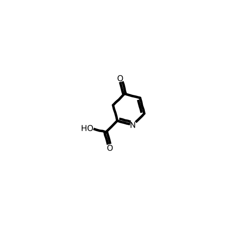 O=C1C=CN=C(C(=O)O)C1